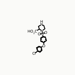 O=C(O)C1CNCCN1S(=O)(=O)c1ccc(Oc2ccc(Cl)cc2)cc1